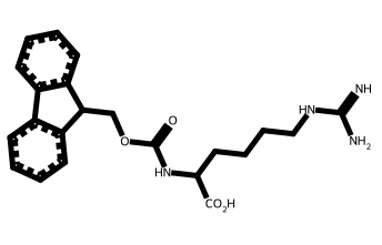 N=C(N)NCCCCC(NC(=O)OCC1c2ccccc2-c2ccccc21)C(=O)O